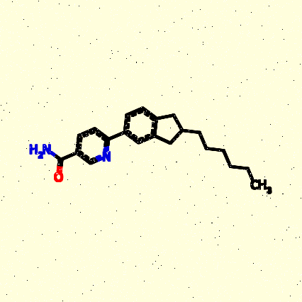 CCCCCCC1Cc2ccc(-c3ccc(C(N)=O)cn3)cc2C1